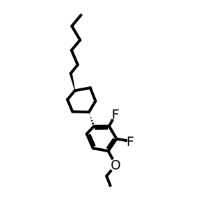 CCCCCC[C@H]1CC[C@H](c2ccc(OCC)c(F)c2F)CC1